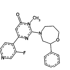 Cn1c(N2CCCOC(c3ccccc3)C2)nc(-c2ccncc2F)cc1=O